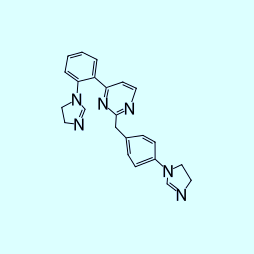 C1=NCCN1c1ccc(Cc2nccc(-c3ccccc3N3C=NCC3)n2)cc1